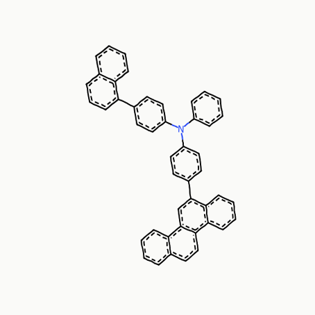 c1ccc(N(c2ccc(-c3cccc4ccccc34)cc2)c2ccc(-c3cc4c5ccccc5ccc4c4ccccc34)cc2)cc1